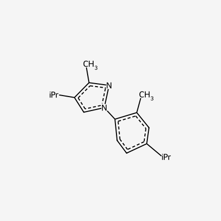 Cc1cc(C(C)C)ccc1-n1cc(C(C)C)c(C)n1